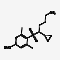 COc1cc(C)c(S(=O)(=O)C(CCCN)C2CC2)c(C)c1